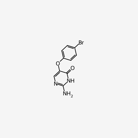 Nc1ncc(Oc2ccc(Br)cc2)c(=O)[nH]1